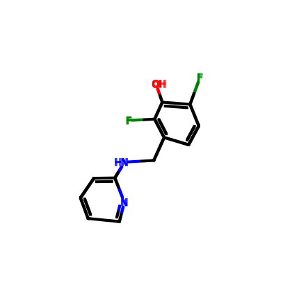 Oc1c(F)ccc(CNc2ccccn2)c1F